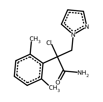 Cc1cccc(C)c1C(Cl)(Cn1cccn1)C(N)=O